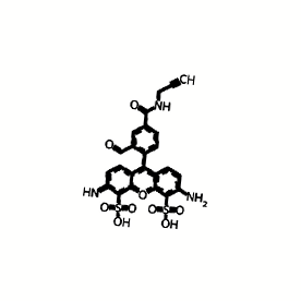 C#CCNC(=O)c1ccc(-c2c3ccc(=N)c(S(=O)(=O)O)c-3oc3c(S(=O)(=O)O)c(N)ccc23)c(C=O)c1